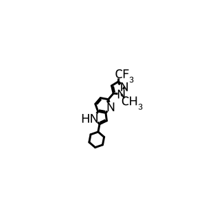 Cn1nc(C(F)(F)F)cc1-c1ccc2[nH]c(C3CCCCC3)cc2n1